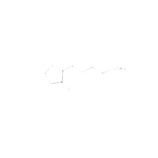 CCCCCCCCCCC1CCCC1=O